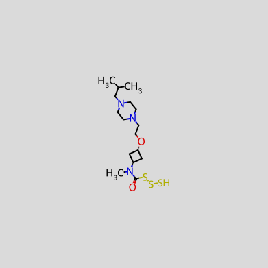 CC(C)CN1CCN(CCO[C@H]2C[C@H](N(C)C(=O)SSS)C2)CC1